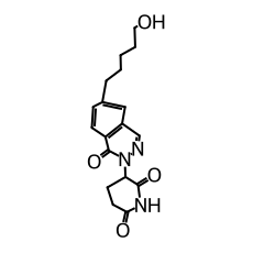 O=C1CCC(n2ncc3cc(CCCCCO)ccc3c2=O)C(=O)N1